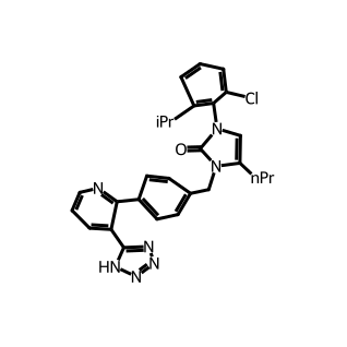 CCCc1cn(-c2c(Cl)cccc2C(C)C)c(=O)n1Cc1ccc(-c2ncccc2-c2nnn[nH]2)cc1